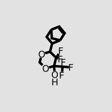 OC1(C(F)(F)F)OCOC(C2CC3C=CC2C3)C1(F)F